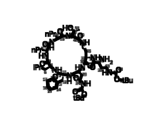 CCC[C@@H]1NC(=O)[C@H](CC(C)C)NC(=O)[C@@H](Cc2ccccc2)NC(=O)[C@H](CCNC(=O)OC(C)(C)C)NC(=O)[C@@H](NC(=O)[C@@H](N)CCNC(=O)OC(C)(C)C)CCNC(=O)[C@H]([C@@H](C)O)NC(=O)[C@H](CCC)NC1=O